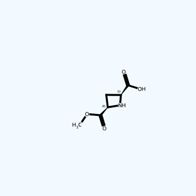 COC(=O)[C@H]1C[C@@H](C(=O)O)N1